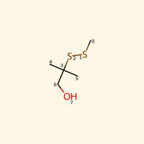 CSSC(C)(C)CO